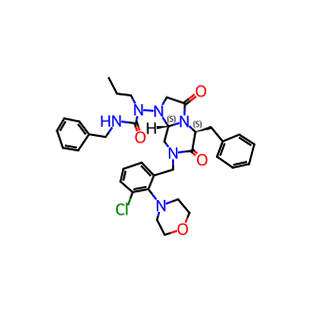 CCCN(C(=O)NCc1ccccc1)N1CC(=O)N2[C@@H](Cc3ccccc3)C(=O)N(Cc3cccc(Cl)c3N3CCOCC3)C[C@@H]21